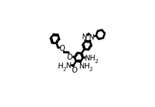 NC(=O)c1c(OCCOCc2ccccc2)cc(-c2ccc3c(c2)ncn3C2CCCCC2)c(N)c1N